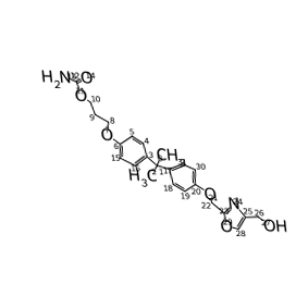 CC(C)(c1ccc(OCCCOC(N)=O)cc1)c1ccc(OCc2nc(CO)co2)cc1